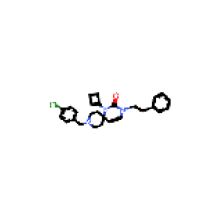 O=C1N(CCc2ccccc2)C=CC2(CCN(Cc3ccc(Cl)cc3)CC2)N1C1CCC1